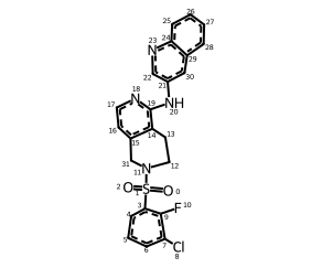 O=S(=O)(c1cccc(Cl)c1F)N1CCc2c(ccnc2Nc2cnc3ccccc3c2)C1